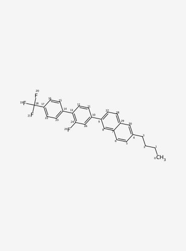 CCCCc1ccc2cc(-c3ccc(-c4ccc(C(F)(F)F)cc4)c(F)c3)ccc2c1